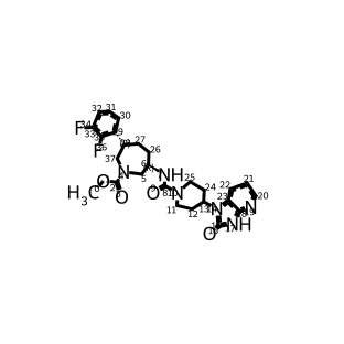 COC(=O)N1C[C@H](NC(=O)N2CCC(n3c(=O)[nH]c4ncccc43)CC2)CC[C@@H](c2cccc(F)c2F)C1